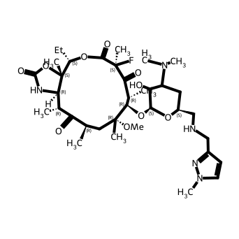 CC[C@@H]1OC(=O)[C@@](C)(F)C(=O)[C@H](C)[C@@H](O[C@@H]2O[C@H](CNCc3ccn(C)n3)CC(N(C)C)C2O)[C@](C)(OC)C[C@@H](C)C(=O)[C@H](C)[C@H]2NC(=O)O[C@]12C